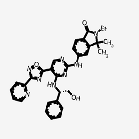 CCN1C(=O)c2ccc(Nc3ncc(-c4nc(-c5ccccn5)no4)c(N[C@H](CO)c4ccccc4)n3)cc2C1(C)C